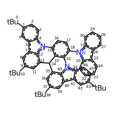 CC(C)(C)c1ccc2c(c1)c1cc(C(C)(C)C)cc3c1n2-c1ccc(-n2c4ccccc4c4ccccc42)c2c1C3c1cc(C(C)(C)C)cc3c4cc(C(C)(C)C)ccc4n-2c13